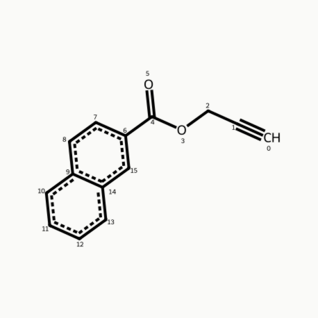 C#CCOC(=O)c1ccc2ccccc2c1